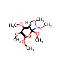 COC1=C(OC)C(OC)=C(C)C(OC)(N(OC)OC)O1